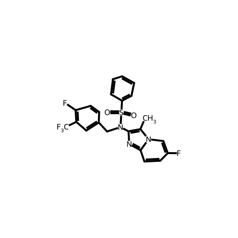 Cc1c(N(Cc2ccc(F)c(C(F)(F)F)c2)S(=O)(=O)c2ccccc2)nc2ccc(F)cn12